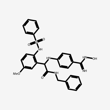 COc1ccc(NS(=O)(=O)c2ccccc2)c(C(Nc2ccc(C(=N)NO)cc2)C(=O)NCc2ccccc2)c1